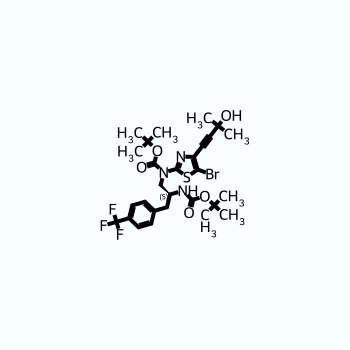 CC(C)(O)C#Cc1nc(N(C[C@H](Cc2ccc(C(F)(F)F)cc2)NC(=O)OC(C)(C)C)C(=O)OC(C)(C)C)sc1Br